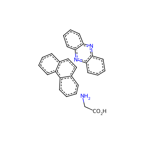 NCC(=O)O.c1ccc2c(c1)ccc1ccccc12.c1ccc2nc3ccccc3nc2c1